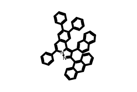 c1ccc(-c2cc3cc(-c4ccccc4)n4nc(-c5c6ccccc6cc6ccccc56)c(-c5ccc6ccccc6c5)c4c3cc2-c2ccccc2)cc1